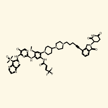 COc1cc(N2CCC(N3CCN(CCCC#Cc4cccc5c4CN(C4CCC(=O)NC4=O)C5=O)CC3)CC2)c(NC(=O)/C=C/C(F)(F)F)cc1Nc1ncc(Cl)c(Nc2ccc3nccnc3c2P(C)(C)=O)n1